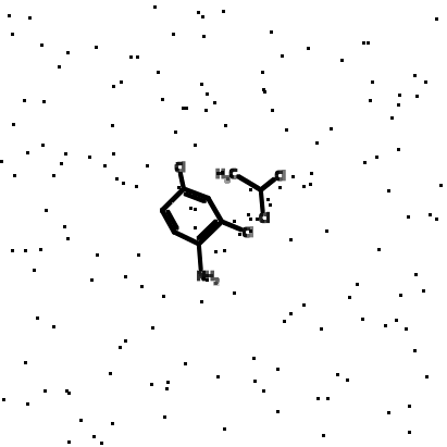 CC(Cl)Cl.Nc1ccc(Cl)cc1Cl